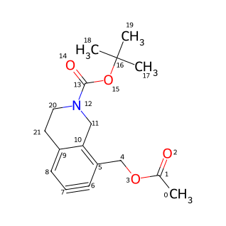 CC(=O)OCc1c#ccc2c1CN(C(=O)OC(C)(C)C)CC2